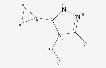 CCn1c(C)nnc1C1CC1